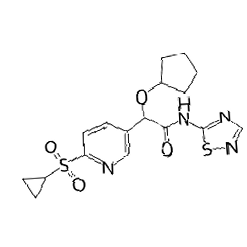 O=C(Nc1ncns1)C(OC1CCCC1)c1ccc(S(=O)(=O)C2CC2)nc1